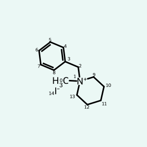 C[N+]1(Cc2ccccc2)CCCCC1.[I-]